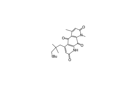 Cc1cc(=O)n(C)c2c1C(=O)c1c(CC(C)(C)CC(C)(C)C)cc(=O)[nH]c1C2=O